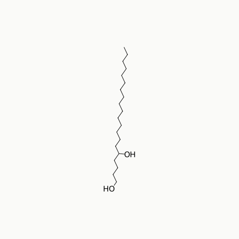 CCCCCCCCCCCCCCCC(O)CCCCO